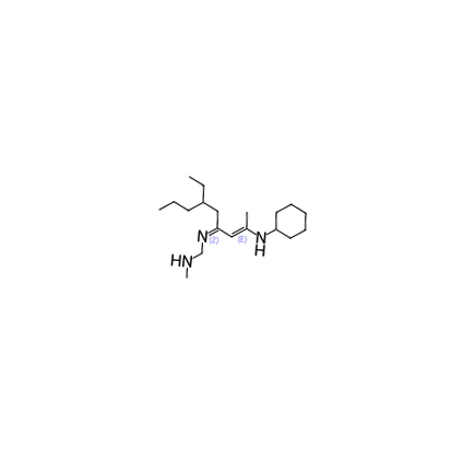 CCCC(CC)CC(/C=C(\C)NC1CCCCC1)=N/CNC